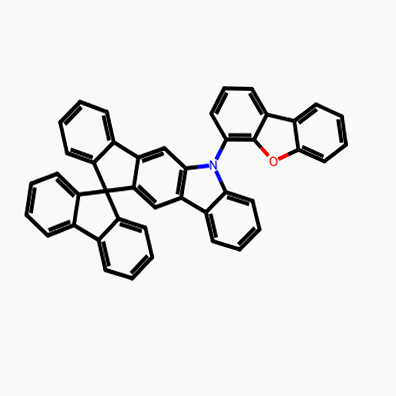 c1ccc2c(c1)-c1ccccc1C21c2ccccc2-c2cc3c(cc21)c1ccccc1n3-c1cccc2c1oc1ccccc12